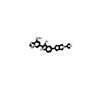 COc1cc(-c2[nH]c3ccc(C4CC5CN(C6COC6)CC5C4)cc3c2C(C)C)cn2ncnc12